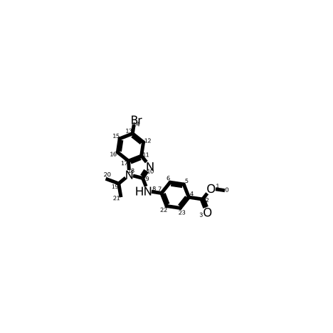 COC(=O)c1ccc(Nc2nc3cc(Br)ccc3n2C(C)C)cc1